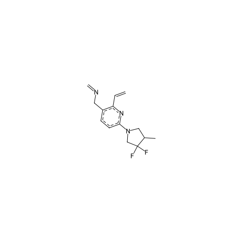 C=Cc1nc(N2CC(C)C(F)(F)C2)ccc1CN=C